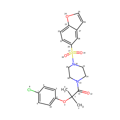 CC(C)(Oc1ccc(Cl)cc1)C(=O)N1CCN(S(=O)(=O)c2ccc3occc3c2)CC1